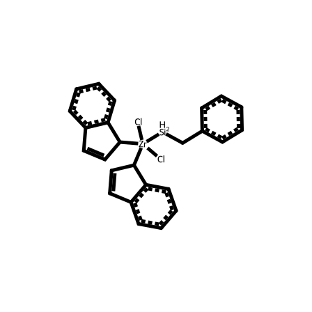 [Cl][Zr]([Cl])([SiH2]Cc1ccccc1)([CH]1C=Cc2ccccc21)[CH]1C=Cc2ccccc21